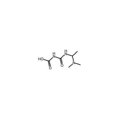 CC(NC(=O)NC(=O)O)N(C)C